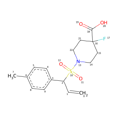 C=CC(c1ccc(C)cc1)S(=O)(=O)N1CCC(F)(C(=O)O)CC1